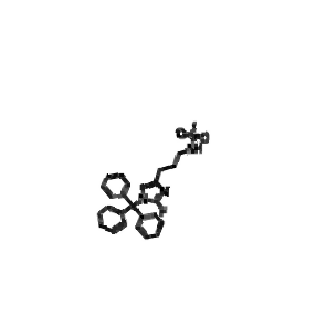 CS(=O)(=O)NCCCc1cn(C(c2ccccc2)(c2ccccc2)c2ccccc2)c(F)n1